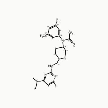 Cc1cc(N(C)C)nc(NCC2CCC(N(C(=O)C(F)(F)F)c3cc(C(F)(F)F)cc(C(F)(F)F)c3)CC2)n1